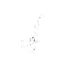 C#CCCOCCOC(=O)NC(CC#C)S(C)(S)SC